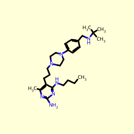 CCCCNc1nc(N)nc(C)c1CCCN1CCN(c2ccc(CNC(C)(C)C)cc2)CC1